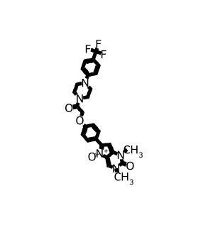 Cn1cc2[n+]([O-])c(-c3ccc(OCC(=O)N4CCN(c5ccc(C(F)(F)F)cc5)CC4)cc3)cc-2n(C)c1=O